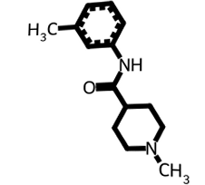 Cc1cccc(NC(=O)C2CCN(C)CC2)c1